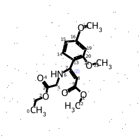 CCOC(=O)CN/C(=C\C(=O)OC)c1ccc(OC)cc1OC